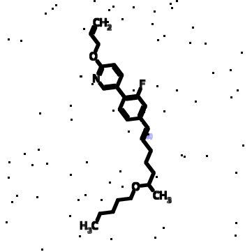 C=CCOc1ccc(-c2ccc(/C=C/CCCC(C)OCCCCC)cc2F)cn1